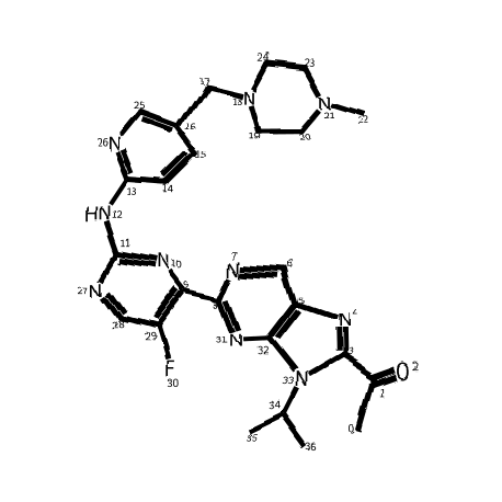 CC(=O)c1nc2cnc(-c3nc(Nc4ccc(CN5CCN(C)CC5)cn4)ncc3F)nc2n1C(C)C